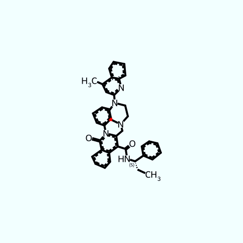 CC[C@H](NC(=O)c1c(CN2CCN(c3cc(C)c4ccccc4n3)CC2)n(-c2ccccc2)c(=O)c2ccccc12)c1ccccc1